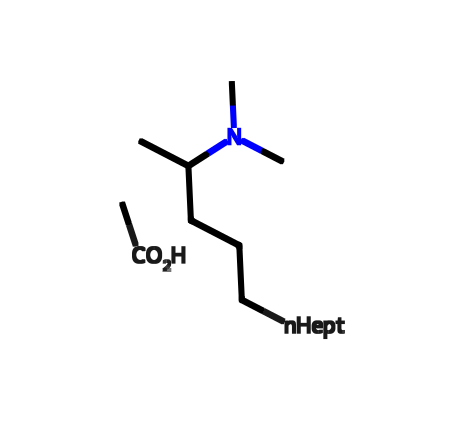 CC(=O)O.CCCCCCCCCCC(C)N(C)C